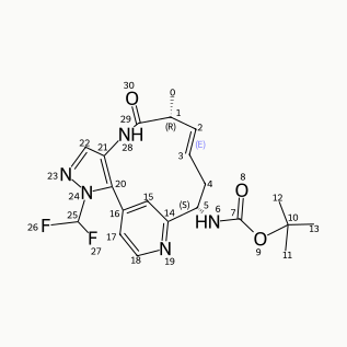 C[C@@H]1/C=C/C[C@H](NC(=O)OC(C)(C)C)c2cc(ccn2)-c2c(cnn2C(F)F)NC1=O